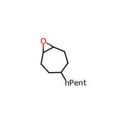 CCCCCC1CCC2OC2CC1